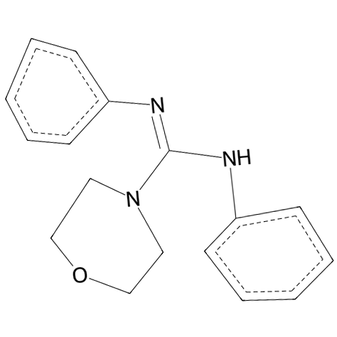 c1ccc(N=C(Nc2ccccc2)N2CCOCC2)cc1